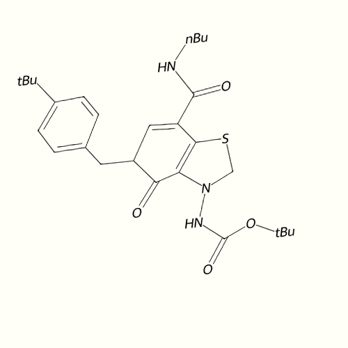 CCCCNC(=O)C1=CC(Cc2ccc(C(C)(C)C)cc2)C(=O)C2=C1SCN2NC(=O)OC(C)(C)C